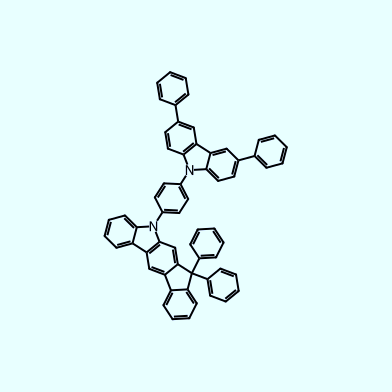 c1ccc(-c2ccc3c(c2)c2cc(-c4ccccc4)ccc2n3-c2ccc(-n3c4ccccc4c4cc5c(cc43)C(c3ccccc3)(c3ccccc3)c3ccccc3-5)cc2)cc1